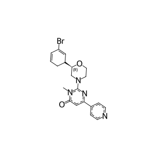 Cn1c(N2CCO[C@H](C3C=C(Br)C=CC3)C2)nc(-c2ccncc2)cc1=O